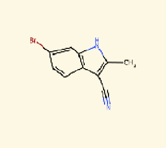 Cc1[nH]c2cc(Br)ccc2c1C#N